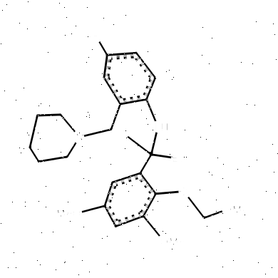 CCC(C)(Pc1ccc(F)cc1CN1CCCCC1)c1cc(OC)cc(OC)c1OCOC